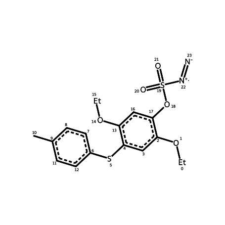 CCOc1cc(Sc2ccc(C)cc2)c(OCC)cc1OS(=O)(=O)[N+]=[N-]